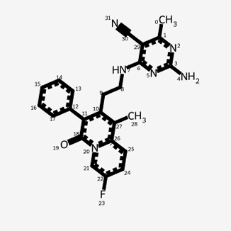 Cc1nc(N)nc(NCCc2c(-c3ccccc3)c(=O)n3cc(F)ccc3c2C)c1C#N